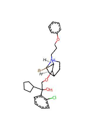 OC(CO[C@@H]1C2CC[N+](CCCOc3ccccc3)(CC2)[C@@H]1Br)(c1ccccc1Cl)C1CCCC1